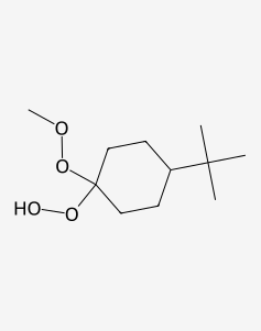 COOC1(OO)CCC(C(C)(C)C)CC1